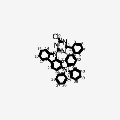 Clc1nc(-c2ccccc2)nc(-n2c3ccccc3c3ccc([Si](c4ccccc4)(c4ccccc4)c4ccccc4)cc32)n1